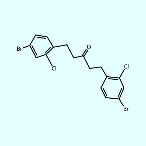 O=C(CCc1ccc(Br)cc1Cl)CCc1ccc(Br)cc1Cl